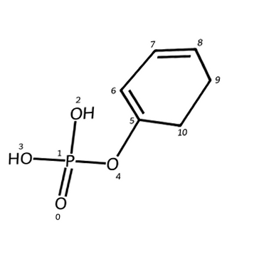 O=P(O)(O)OC1=CC=CCC1